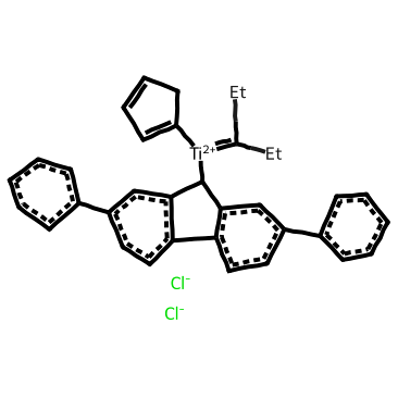 CC[C](CC)=[Ti+2]([C]1=CC=CC1)[CH]1c2cc(-c3ccccc3)ccc2-c2ccc(-c3ccccc3)cc21.[Cl-].[Cl-]